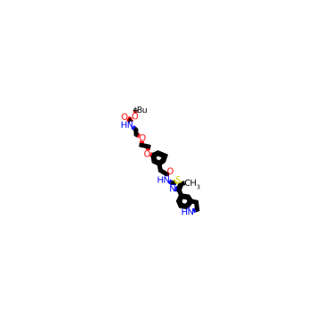 Cc1sc(NC(=O)Cc2cccc(OCCOCCNC(=O)OC(C)(C)C)c2)nc1-c1ccc2c(c1)CCN2